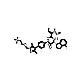 C=NN(C)/C(=C\C)C(=O)NC(C(=O)Nc1ccc(-c2c(C)nn(COCC[Si](C)(C)C)c2C)cc1)[C@H]1CCc2c(F)cccc21